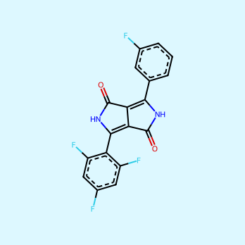 O=C1NC(c2c(F)cc(F)cc2F)=C2C(=O)NC(c3cccc(F)c3)=C12